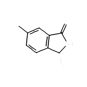 CC[C@H]1NC(=O)c2cc(Cl)ccc21